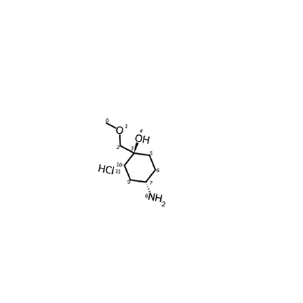 COC[C@]1(O)CC[C@H](N)CC1.Cl